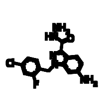 NNC(=O)c1nn(Cc2ccc(Cl)cc2F)c2cc(N)ccc12